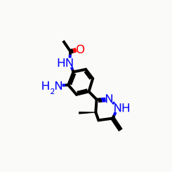 C=C1C[C@@H](C)C(c2ccc(NC(C)=O)c(N)c2)=NN1